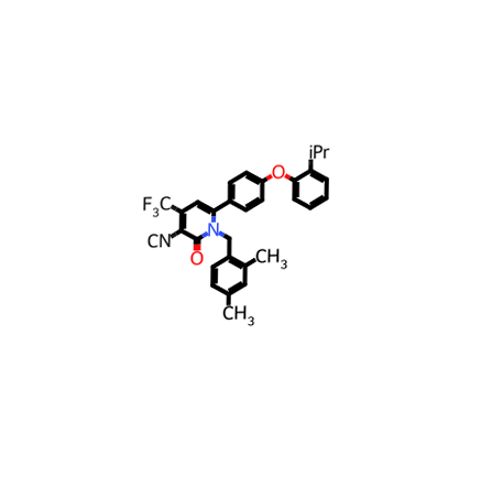 [C-]#[N+]c1c(C(F)(F)F)cc(-c2ccc(Oc3ccccc3C(C)C)cc2)n(Cc2ccc(C)cc2C)c1=O